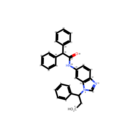 O=C(O)CC(c1ccccc1)n1cnc2ccc(NC(=O)C(c3ccccc3)c3ccccc3)cc21